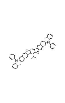 Cc1ccccc1N(c1ccccc1)c1ccc2cc3c(cc2c1)oc1c(C(C)C)c2c(cc13)oc1cc3cc(N(c4ccccc4)c4ccccc4C)ccc3cc12